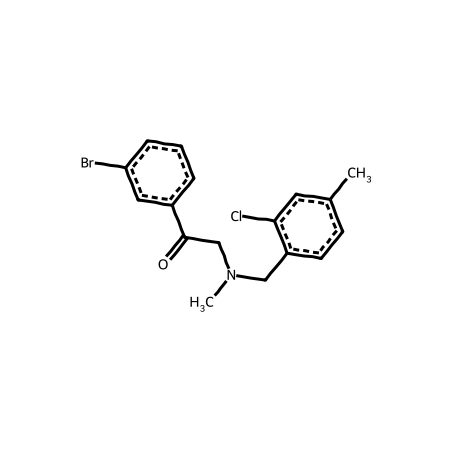 Cc1ccc(CN(C)CC(=O)c2cccc(Br)c2)c(Cl)c1